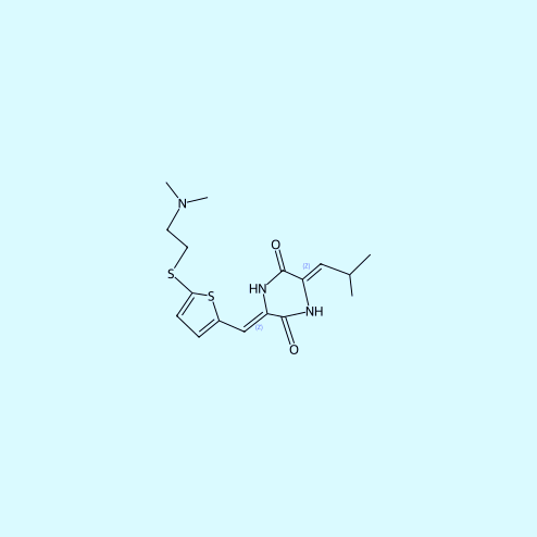 CC(C)/C=c1\[nH]c(=O)/c(=C/c2ccc(SCCN(C)C)s2)[nH]c1=O